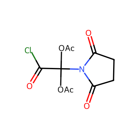 CC(=O)OC(OC(C)=O)(C(=O)Cl)N1C(=O)CCC1=O